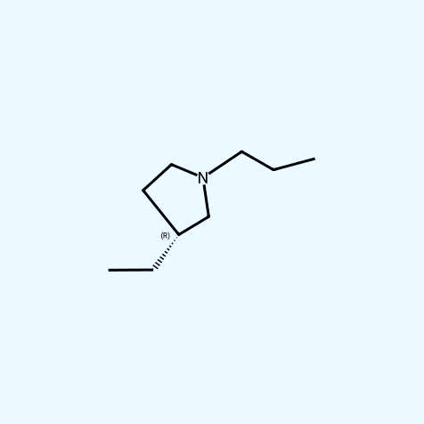 CCCN1CC[C@@H](CC)C1